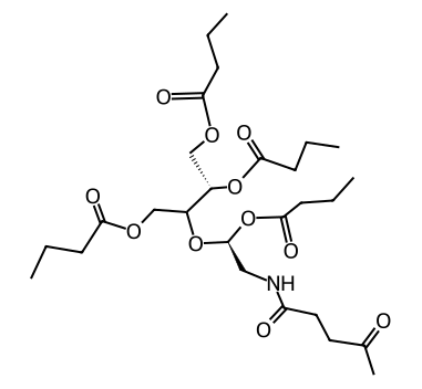 CCCC(=O)OCC(O[C@H](CNC(=O)CCC(C)=O)OC(=O)CCC)[C@H](COC(=O)CCC)OC(=O)CCC